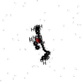 CC(C)(C)[C@H](NC(=O)c1cc2cc(C(F)(F)P(=O)(O)O)ccc2s1)C(=O)N1C[C@@H](OCCCCCC#Cc2cccc3c2CN(C2CCC(=O)NC2=O)C3=O)C[C@H]1C(=O)N1CCCC(c2ccccc2)C1